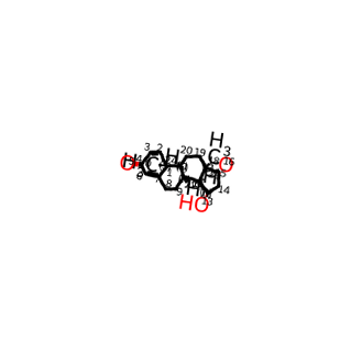 C[C@]12C=CC(=O)C=C1CC[C@H]1[C@@H]3[C@H](O)CC(=O)[C@@]3(C)CC[C@@H]12